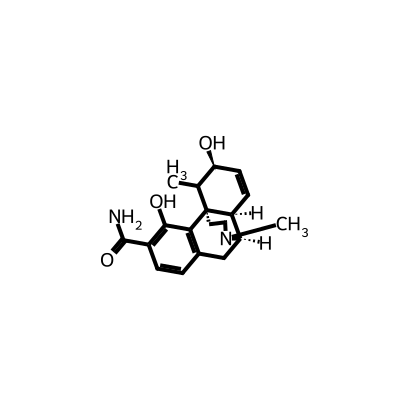 CC1[C@@H](O)C=C[C@H]2[C@H]3Cc4ccc(C(N)=O)c(O)c4[C@@]12CCN3C